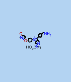 CCN(C(=O)O)c1cc2c(cn1)c(-c1ccc(CN)cc1)nn2[C@H]1CC[C@@H](Oc2ccc(=O)n(C)n2)CC1